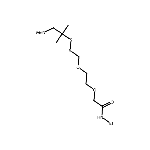 CCNC(=O)COCCOCSSC(C)(C)CNC